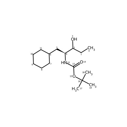 CCC(O)[C@H](CC1CCCCC1)NC(=O)OC(C)(C)C